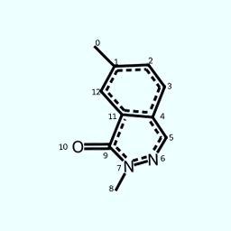 Cc1ccc2cnn(C)c(=O)c2c1